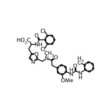 COc1cc(CC(=O)N(C)Cc2ncc(CC(NC(=O)c3c(Cl)cccc3Cl)C(=O)O)o2)ccc1NC(=O)Nc1ccccc1C